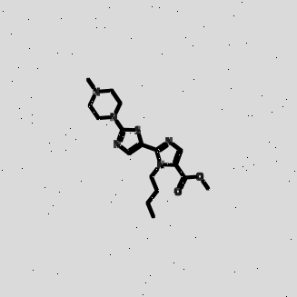 CCCCn1c(C(=O)OC)cnc1-c1cnc(N2CCN(C)CC2)s1